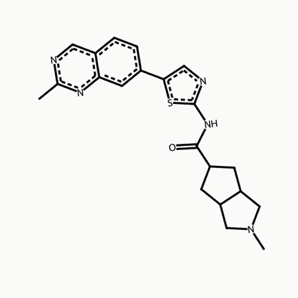 Cc1ncc2ccc(-c3cnc(NC(=O)C4CC5CN(C)CC5C4)s3)cc2n1